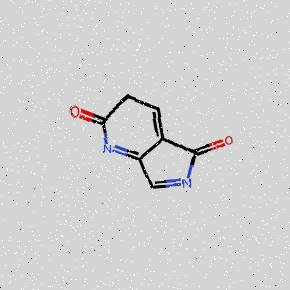 O=C1CC=C2C(=O)N=CC2=N1